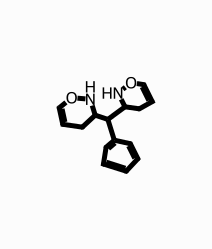 C1=CONC(C(c2ccccc2)C2CC=CON2)C1